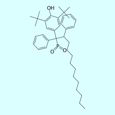 CCCCCCCCCCCC(c1ccccc1)C(c1ccccc1)(c1cc(C(C)(C)C)c(O)c(C(C)(C)C)c1)P(=O)=O